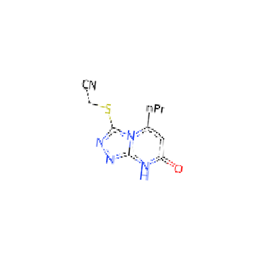 CCCc1cc(=O)[nH]c2nnc(SCC#N)n12